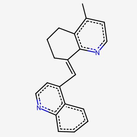 Cc1ccnc2c1CCC/C2=C\c1ccnc2ccccc12